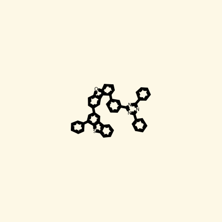 c1ccc(-c2nc(-c3ccccc3)nc(-c3cccc(-c4cccc5oc6ccc(-c7cc(-c8ccccc8)c8sc9ccccc9c8c7)cc6c45)c3)n2)cc1